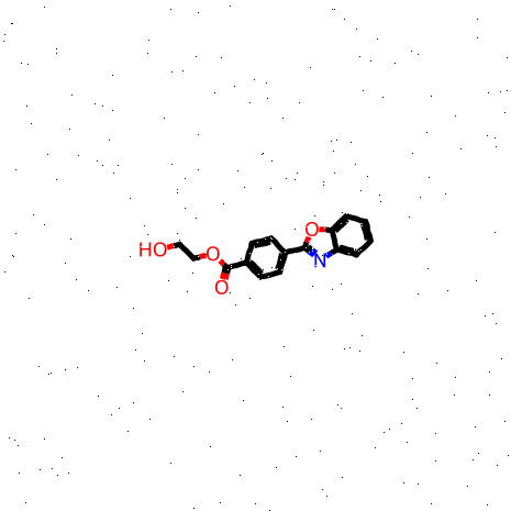 O=C(OCCO)c1ccc(-c2nc3ccccc3o2)cc1